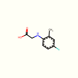 Cc1cc(F)ccc1NCC(=O)O